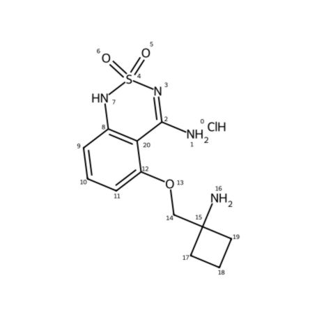 Cl.NC1=NS(=O)(=O)Nc2cccc(OCC3(N)CCC3)c21